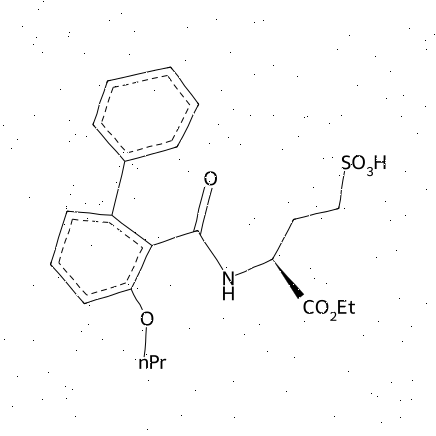 CCCOc1cccc(-c2ccccc2)c1C(=O)N[C@@H](CCS(=O)(=O)O)C(=O)OCC